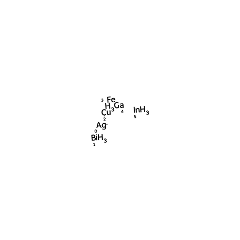 [Ag].[BiH3].[Cu].[Fe].[GaH3].[InH3]